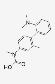 Cc1cc(N(C)C(=O)O)ccc1-c1ccccc1N(C)C